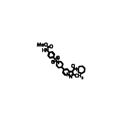 COC(=O)Nc1ccc(S(=O)(=O)N2CCC(c3ccn4nc(C)c(C(=O)N5CCCCCC5)c4c3)CC2)cc1